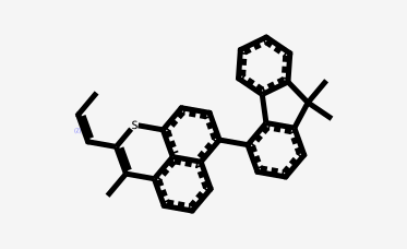 C/C=C\C1=C(C)c2cccc3c(-c4cccc5c4-c4ccccc4C5(C)C)ccc(c23)S1